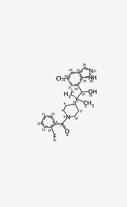 CC(C)(C1CCN(C(=O)c2ccccc2F)CC1)C(O)c1cc(Cl)cc2cn[nH]c12